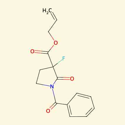 C=CCOC(=O)C1(F)CCN(C(=O)c2ccccc2)C1=O